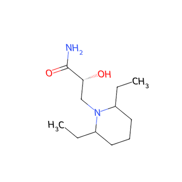 CCC1CCCC(CC)N1C[C@@H](O)C(N)=O